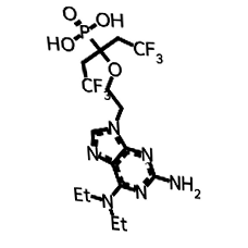 CCN(CC)c1nc(N)nc2c1ncn2CCOC(CC(F)(F)F)(CC(F)(F)F)P(=O)(O)O